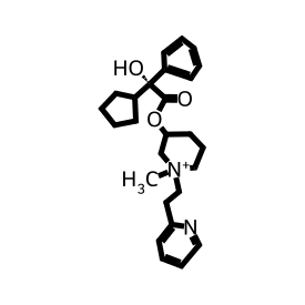 C[N+]1(CCc2ccccn2)CCCC(OC(=O)[C@](O)(c2ccccc2)C2CCCC2)C1